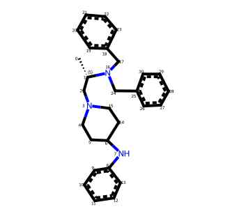 C[C@@H](CN1CCC(Nc2ccccc2)CC1)N(Cc1ccccc1)Cc1ccccc1